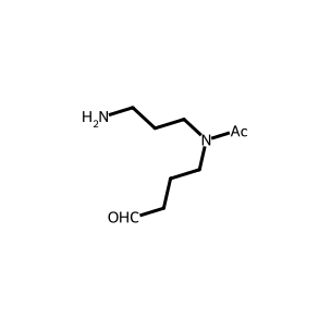 CC(=O)N(CCCN)CCCC=O